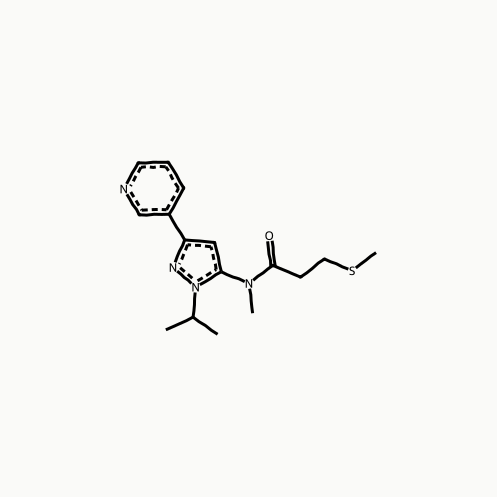 CSCCC(=O)N(C)c1cc(-c2cccnc2)nn1C(C)C